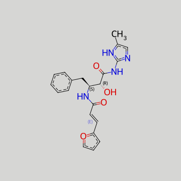 Cc1cnc(NC(=O)[C@H](O)[C@H](Cc2ccccc2)NC(=O)/C=C/c2ccco2)[nH]1